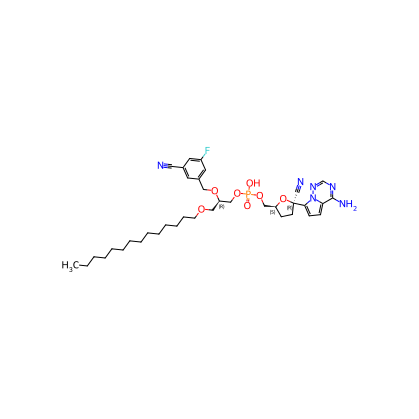 CCCCCCCCCCCCCCOC[C@H](COP(=O)(O)OC[C@@H]1CC[C@](C#N)(c2ccc3c(N)ncnn23)O1)OCc1cc(F)cc(C#N)c1